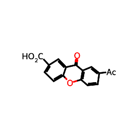 CC(=O)c1ccc2oc3ccc(C(=O)O)cc3c(=O)c2c1